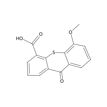 COc1cccc2c(=O)c3cccc(C(=O)O)c3sc12